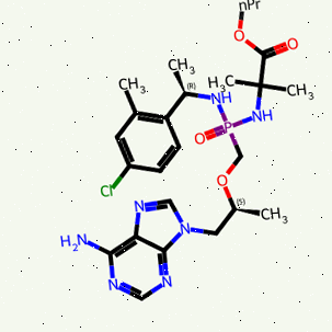 CCCOC(=O)C(C)(C)NP(=O)(CO[C@@H](C)Cn1cnc2c(N)ncnc21)N[C@H](C)c1ccc(Cl)cc1C